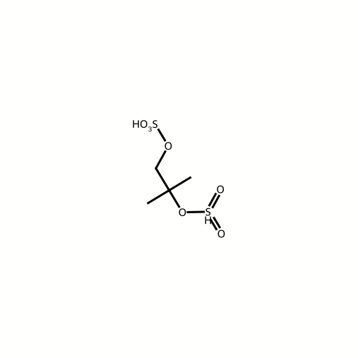 CC(C)(COS(=O)(=O)O)O[SH](=O)=O